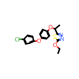 CCOc1nnc(C(C)Oc2ccc(Oc3ccc(Cl)cc3)cc2)s1